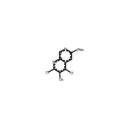 CSc1cc2c(Cl)c(C#N)c(Cl)nc2cn1